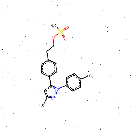 Cc1ccc(-n2nc(C(F)(F)F)cc2-c2ccc(CCOS(C)(=O)=O)cc2)cc1